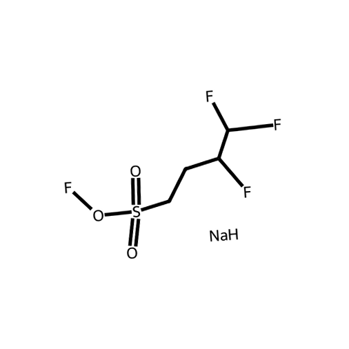 O=S(=O)(CCC(F)C(F)F)OF.[NaH]